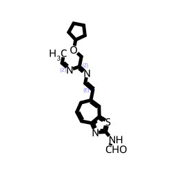 C\C=N/C(COC1CCCC1)=N\C=C\C1=Cc2sc(NC=O)nc2C=CC1